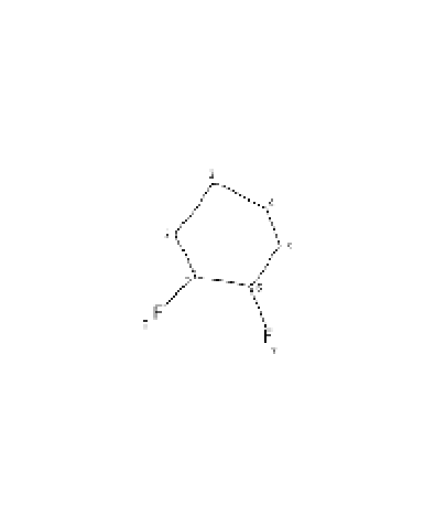 F[C]1CCCCC1F